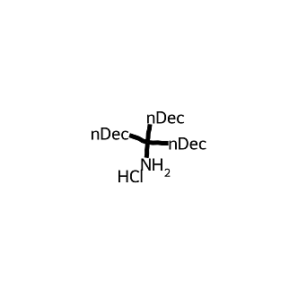 CCCCCCCCCCC(N)(CCCCCCCCCC)CCCCCCCCCC.Cl